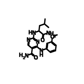 COc1cccc(Nc2nc(NC(CC(C)C)C(N)=O)ncc2C(N)=O)c1